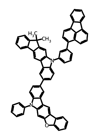 CC1(C)c2ccccc2-c2cc3c4cc(-c5ccc6c(c5)c5cc7c(cc5n6-c5ccccc5)oc5ccccc57)ccc4n(-c4cccc(-c5ccc6c7c(cccc57)-c5ccccc5-6)c4)c3cc21